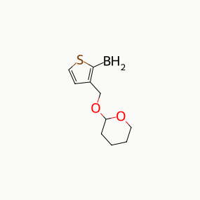 Bc1sccc1COC1CCCCO1